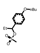 CCCCOc1ccc(C(CC)OS(C)(=O)=O)cc1